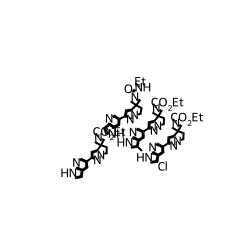 CCNC(=O)N1CC2(CCn3nc(-c4cnc5cc[nH]c5c4)cc32)C1.CCOC(=O)N1CC2(CCn3nc(-c4cnc5[nH]cc(C)c5c4)cc32)C1.CCOC(=O)N1CC2(CCn3nc(-c4cnc5[nH]cc(Cl)c5c4)cc32)C1.CCOC(=O)N1CC2(CCn3nc(-c4cnc5[nH]ccc5c4)cc32)C1